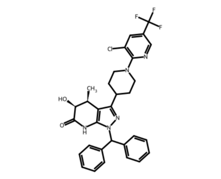 C[C@H]1c2c(C3CCN(c4ncc(C(F)(F)F)cc4Cl)CC3)nn(C(c3ccccc3)c3ccccc3)c2NC(=O)[C@H]1O